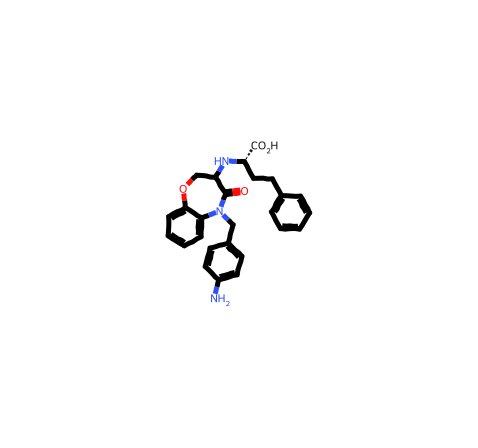 Nc1ccc(CN2C(=O)C(N[C@@H](CCc3ccccc3)C(=O)O)COc3ccccc32)cc1